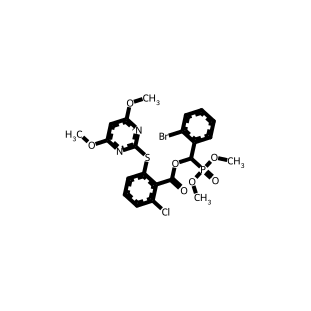 COc1cc(OC)nc(Sc2cccc(Cl)c2C(=O)OC(c2ccccc2Br)P(=O)(OC)OC)n1